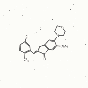 COc1cc2c(cc1N1CCOCC1)CC(=Cc1cc(Cl)ccc1C(F)(F)F)C2=O